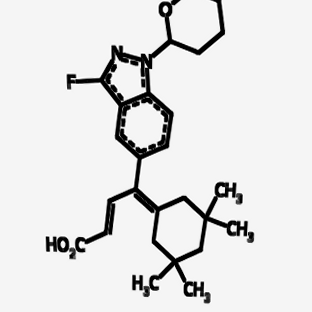 CC1(C)CC(=C(/C=C/C(=O)O)c2ccc3c(c2)c(F)nn3C2CCCCO2)CC(C)(C)C1